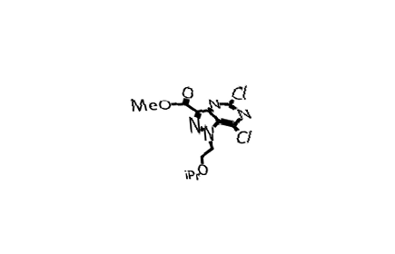 COC(=O)c1nn(CCOC(C)C)c2c(Cl)nc(Cl)nc12